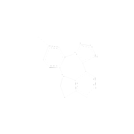 Brc1ccc2c(c1)-n1nnnc1-c1cccc3c1N2CC3